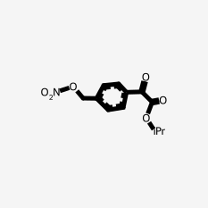 CC(C)OC(=O)C(=O)c1ccc(CO[N+](=O)[O-])cc1